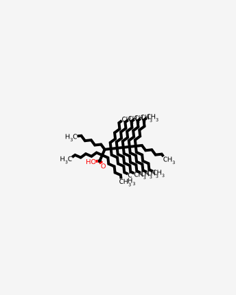 CCCCCCC(C(CCCCCC)(CCCCCC)C(=O)O)C(CCCCCC)(CCCCCC)C(CCCCCC)(CCCCCC)C(CCCCCC)(CCCCCC)C(CCCCCC)(CCCCCC)C(CCCCCC)(CCCCCC)CCCCCC